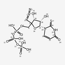 [N-]=[N+]=NC1(COP(=O)(O)OP(=O)(O)OP(=O)(O)O)O[C@@H](n2ccc(=O)[nH]c2=S)[C@@H](O)[C@H]1O